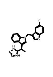 CC(c1cn(Cc2csc3ccc(Cl)cc23)c2ccccc12)C1NN=NN1